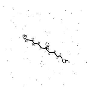 COCCCCC(=O)CCCC[C]=O